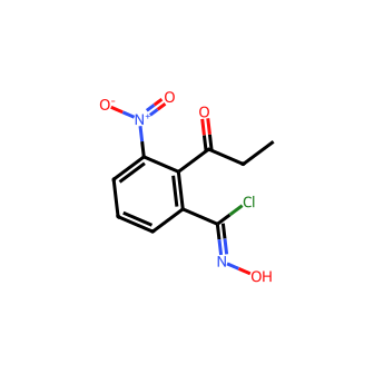 CCC(=O)c1c(C(Cl)=NO)cccc1[N+](=O)[O-]